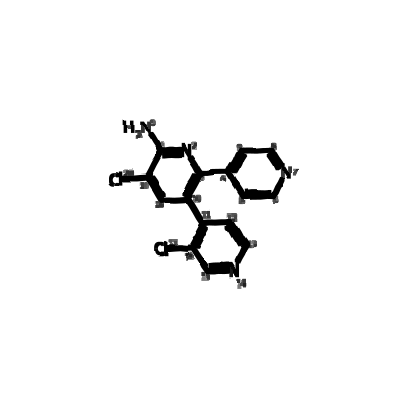 Nc1nc(-c2ccncc2)c(-c2ccncc2Cl)cc1Cl